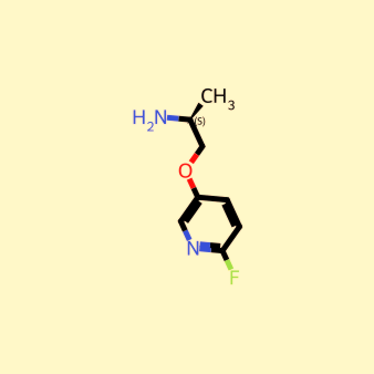 C[C@H](N)COc1ccc(F)nc1